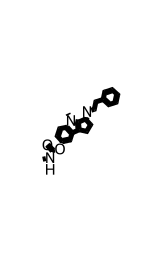 CNC(=O)Oc1ccc2c(c1)c1c(n2C)/C(=N/CCc2ccccc2)CC1